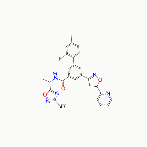 Cc1ccc(-c2cc(C(=O)NC(C)c3nc(C(C)C)no3)cc(C3=NOC(c4ccccn4)C3)c2)c(F)c1